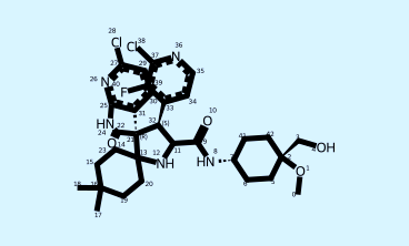 CO[C@]1(CO)CC[C@H](NC(=O)C2NC3(CCC(C)(C)CC3)[C@@]3(C(=O)Nc4nc(Cl)ccc43)[C@H]2c2ccnc(Cl)c2F)CC1